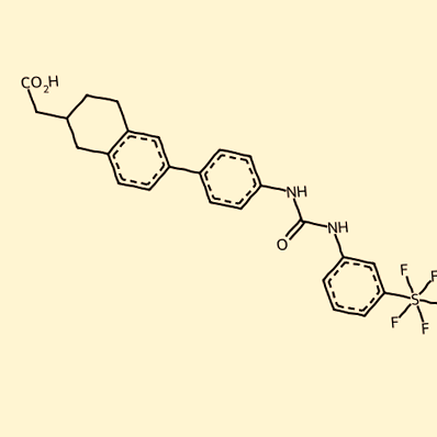 O=C(O)CC1CCc2cc(-c3ccc(NC(=O)Nc4cccc(S(F)(F)(F)(F)F)c4)cc3)ccc2C1